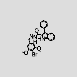 COc1cc(/C=N\NC(=O)c2[nH]c3ccccc3c2-c2ccccc2)cc(OC)c1Br